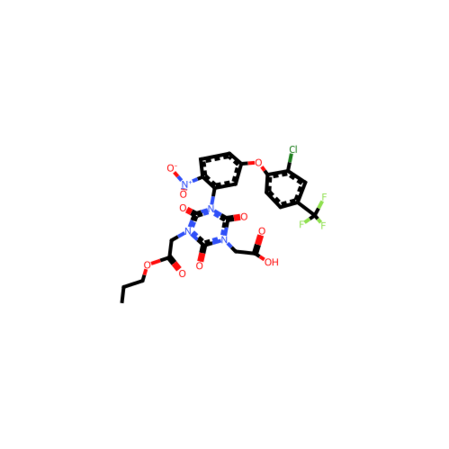 CCCOC(=O)Cn1c(=O)n(CC(=O)O)c(=O)n(-c2cc(Oc3ccc(C(F)(F)F)cc3Cl)ccc2[N+](=O)[O-])c1=O